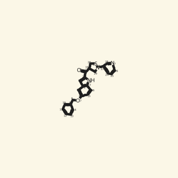 O=C(c1cc2cc(OCc3ccccc3)ccc2[nH]1)C1CSN(c2cccnc2)C1